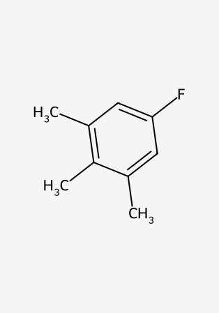 Cc1cc(F)cc(C)c1C